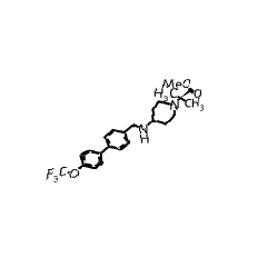 COC(=O)C(C)(C)N1CCC(NCc2ccc(-c3ccc(OC(F)(F)F)cc3)cc2)CC1